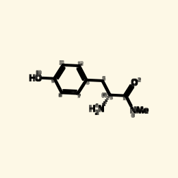 CNC(=O)[C@H](N)Cc1ccc(O)cc1